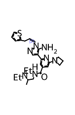 CCN(CC)C(C)CNC(=O)c1cc(-c2cnn(/C=C\Cc3cccs3)c2N)nc(N2CCC2)c1